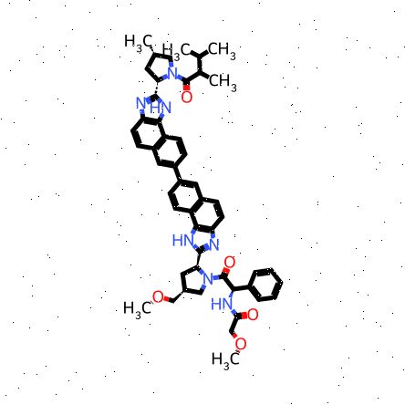 COCC(=O)N[C@@H](C(=O)N1C[C@@H](COC)C[C@H]1c1nc2ccc3cc(-c4ccc5c(ccc6nc([C@@H]7C[C@H](C)CN7C(=O)C(C)C(C)C)[nH]c65)c4)ccc3c2[nH]1)c1ccccc1